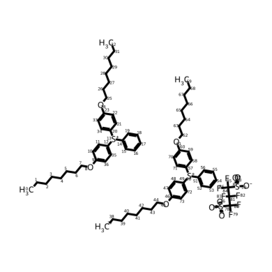 CCCCCCCCOc1ccc([S+](c2ccccc2)c2ccc(OCCCCCCCC)cc2)cc1.CCCCCCCCOc1ccc([S+](c2ccccc2)c2ccc(OCCCCCCCC)cc2)cc1.O=S(=O)([O-])C(F)(F)C(F)(F)C(F)(F)S(=O)(=O)[O-]